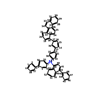 c1ccc(-c2ccc(N(c3ccc(-c4cccc(-c5cccc6c5ccc5c7ccccc7ccc65)c4)cc3)c3ccc(-c4ccccc4)c4ccccc34)cc2)cc1